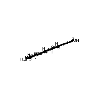 BC(=O)CNC(=O)[C@@H](N)CCCCNC(=O)COCCOCCNC(=O)COCCOCCNC(=O)CCCNC(=O)CCCCCCCCCCCCCCCCC(=O)O